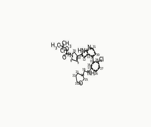 CC(C)(C)OC(=O)N1CC=C(c2cc3c(-c4cc(NCC5CCCOC5)ccc4Cl)ccnc3[nH]2)C1